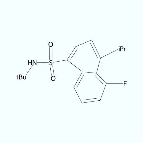 CC(C)c1ccc(S(=O)(=O)NC(C)(C)C)c2cccc(F)c12